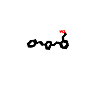 OCCc1ccccc1CCc1ccc(CCc2ccccc2)cc1